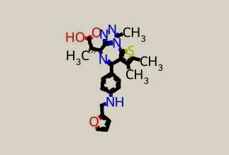 Cc1sc2c(c1C)C(c1ccc(NCc3ccco3)cc1)=NC([C@H](C)C(=O)O)c1nnc(C)n1-2